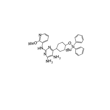 COc1ncccc1Nc1nc(N)c(N)c(C2CCC(O[Si](c3ccccc3)(c3ccccc3)C(C)(C)C)CC2)n1